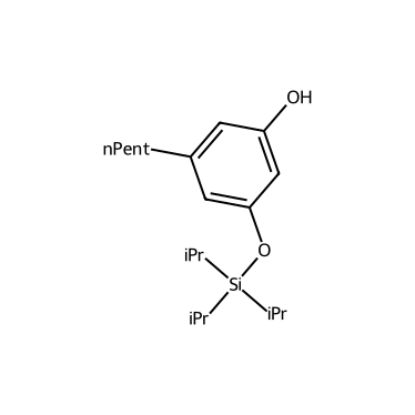 CCCCCc1cc(O)cc(O[Si](C(C)C)(C(C)C)C(C)C)c1